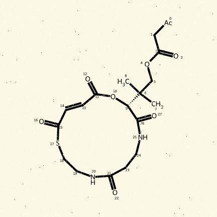 CC(=O)CC(=O)OCC(C)(C)[C@H]1OC(=O)/C=C/C(=O)SCCNC(=O)CCNC1=O